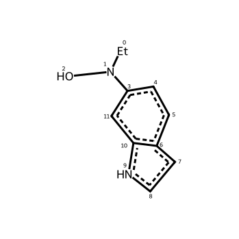 CCN(O)c1ccc2cc[nH]c2c1